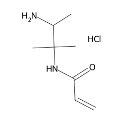 C=CC(=O)NC(C)(C)C(C)N.Cl